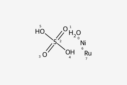 O.O=S(=O)(O)O.[Ni].[Ru]